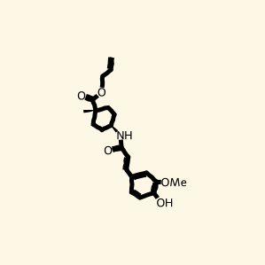 C=CCOC(=O)[C@]1(C)CC[C@@H](NC(=O)C=Cc2ccc(O)c(OC)c2)CC1